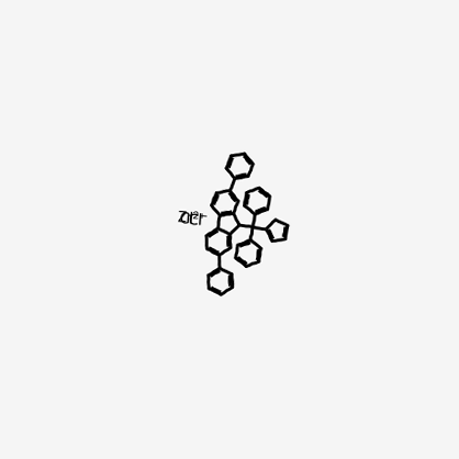 C1=CCC(C(c2ccccc2)(c2ccccc2)C2c3cc(-c4ccccc4)ccc3-c3ccc(-c4ccccc4)cc32)=C1.[Cl-].[Cl-].[Zr+2]